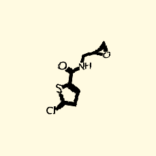 O=C(NCC1CO1)C1=CCC(Cl)S1